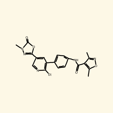 CCc1ncc(-c2nn(C)c(=O)o2)cc1-c1ccc(NC(=O)c2c(C)noc2C)cc1